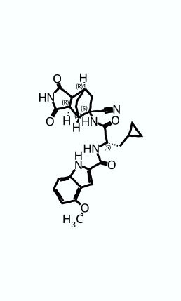 COc1cccc2[nH]c(C(=O)N[C@@H](CC3CC3)C(=O)N[C@@]3(C#N)C[C@H]4CC[C@H]3[C@H]3C(=O)NC(=O)C43)cc12